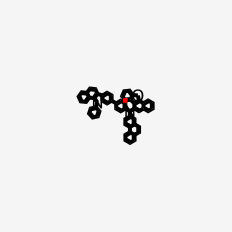 c1ccc(-n2c3cc(-c4ccc(N(c5ccc6c(ccc7ccccc76)c5)c5cc6ccccc6c6oc7ccccc7c56)cc4)ccc3c3ccc4ccccc4c32)cc1